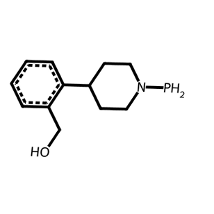 OCc1ccccc1C1CCN(P)CC1